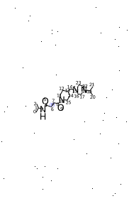 CC(C)NC(=O)/C=C/C(=O)N1CCC(CN2CCN(C(C)C)CC2)CC1